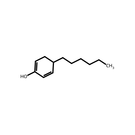 CCCCCCC1C=CC(O)=CC1